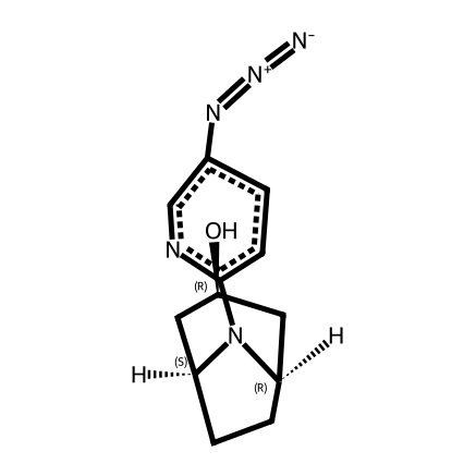 [N-]=[N+]=Nc1ccc(N2[C@@H]3CC[C@H]2C[C@@H](O)C3)nc1